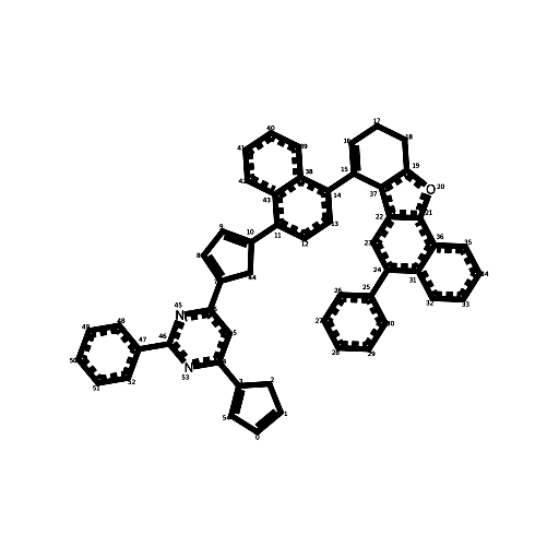 C1=CCC(c2cc(C3=CC=C(c4ccc(C5=CCCc6oc7c(cc(-c8ccccc8)c8ccccc87)c65)c5ccccc45)C3)nc(-c3ccccc3)n2)=C1